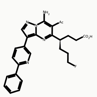 CC(=O)c1c([C@H](CCCF)CCC(=O)O)nc2c(-c3ccc(-c4ccccc4)nc3)cnn2c1N